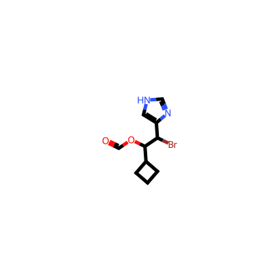 O=COC(C1CCC1)C(Br)c1c[nH]cn1